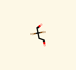 O=[C]CC(S)(S)[C]=O